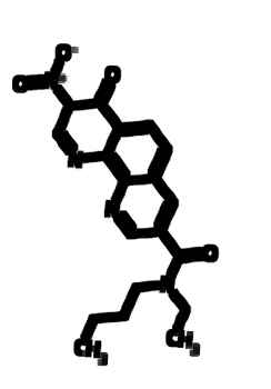 CCCCN(CC)C(=O)c1cnc2c3c(ccc2c1)C(=O)C([N+](=O)[O-])C=N3